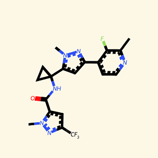 Cc1nccc(-c2cc(C3(NC(=O)c4cc(C(F)(F)F)nn4C)CC3)n(C)n2)c1F